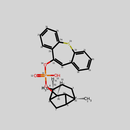 C[C@H]1CC[C@@]2(C)C3CC1[C@@H](OP(=O)(O)OC1=Cc4ccccc4Sc4ccccc41)C32